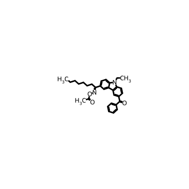 CCCCCCCC(=NOC(C)=O)c1ccc2c(c1)c1cc(C(=O)c3ccccc3)ccc1n2CC